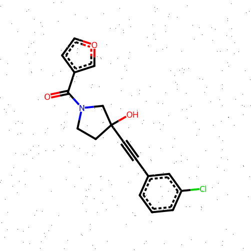 O=C(c1ccoc1)N1CCC(O)(C#Cc2cccc(Cl)c2)C1